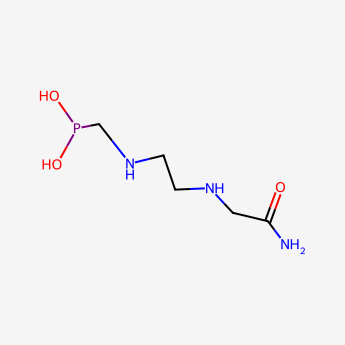 NC(=O)CNCCNCP(O)O